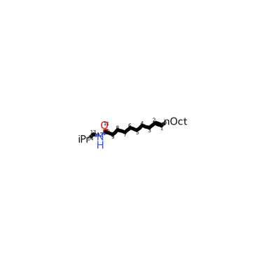 CCCCCCCC/C=C/CCCCCCCC(=O)NCC(C)C